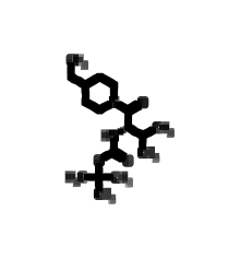 CCC1CCN(C(=O)[C@@H](NC(=O)OC(C)(C)C)C(C)C)CC1